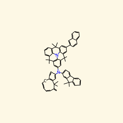 C=C1/C=C\C=C/Cc2ccc(N(c3ccc4c(c3)C(C)(C)c3ccccc3-4)c3cc4c5c(c3)C(C)(C)c3cc(-c6ccc7ccccc7c6)cc6c3N5c3c(cccc3C4(C)C)C6(C)C)cc2C1(C)C